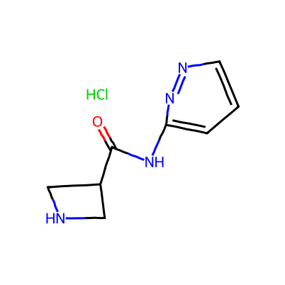 Cl.O=C(Nc1cccnn1)C1CNC1